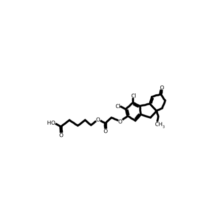 CCC12CCC(=O)C=C1c1c(cc(OCC(=O)OCCCCC(=O)O)c(Cl)c1Cl)C2